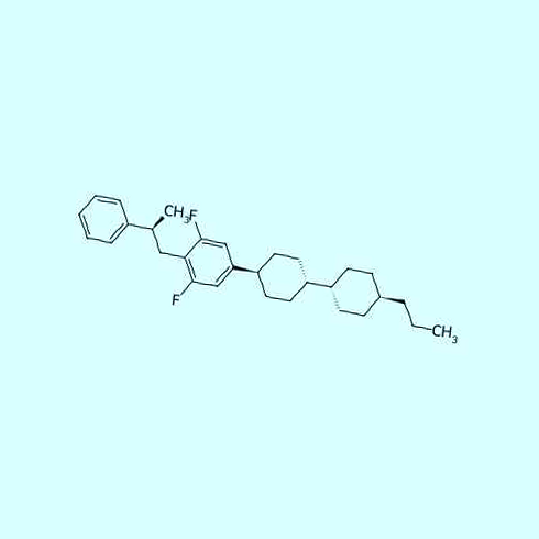 CCC[C@H]1CC[C@H]([C@H]2CC[C@H](c3cc(F)c(C[C@H](C)c4ccccc4)c(F)c3)CC2)CC1